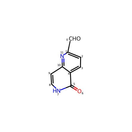 O=Cc1ccc2c(=O)[nH]ccc2n1